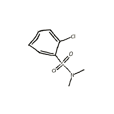 CN(C)S(=O)(=O)c1cc[c]cc1Cl